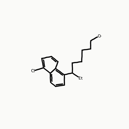 CCC(CCCCC[O])c1cccc2c(Cl)cccc12